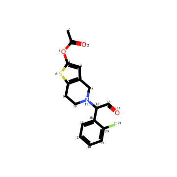 CC(=O)Oc1cc2c(s1)CCN(C(C=O)c1ccccc1F)C2